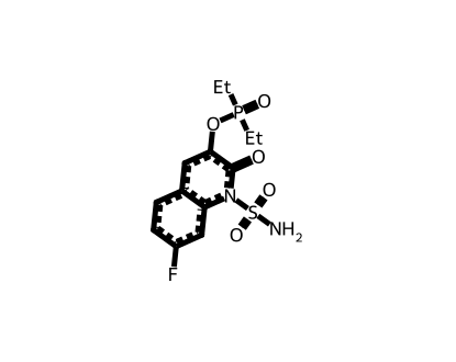 CCP(=O)(CC)Oc1cc2ccc(F)cc2n(S(N)(=O)=O)c1=O